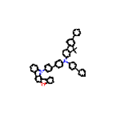 CC1(C)c2cc(-c3ccccc3)ccc2-c2ccc(N(c3ccc(-c4ccccc4)cc3)c3ccc(-c4ccc(-n5c6ccccc6c6ccc7oc8ccccc8c7c65)cc4)cc3)cc21